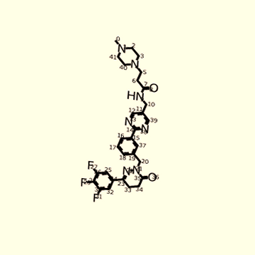 CN1CCN(CCC(=O)NCc2cnc(-c3cccc(CN4N=C(c5cc(F)c(F)c(F)c5)CCC4=O)c3)nc2)CC1